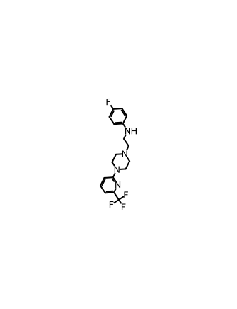 Fc1ccc(NCCN2CCN(c3cccc(C(F)(F)F)n3)CC2)cc1